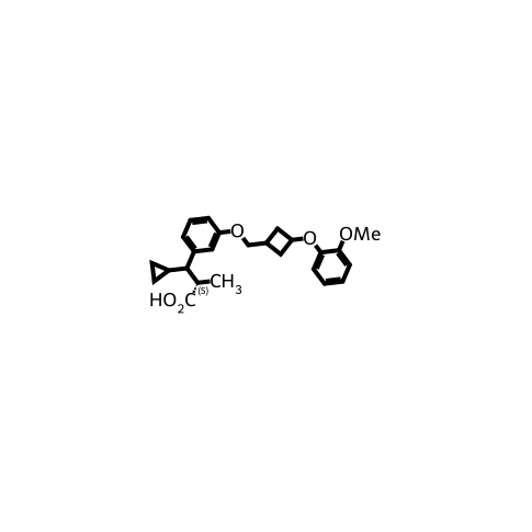 COc1ccccc1OC1CC(COc2cccc(C(C3CC3)[C@H](C)C(=O)O)c2)C1